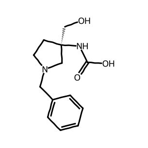 O=C(O)N[C@]1(CO)CCN(Cc2ccccc2)C1